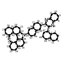 c1ccc2c(-c3nc4ccccc4nc3-c3ccc4cc(-n5c6ccc7cccc8sc9cccc%10ccc5c(c%109)c6c78)ccc4c3)cccc2c1